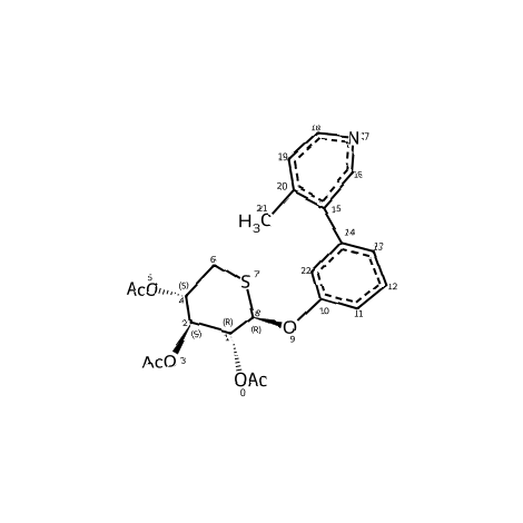 CC(=O)O[C@@H]1[C@@H](OC(C)=O)[C@H](OC(C)=O)CS[C@H]1Oc1cccc(-c2cnccc2C)c1